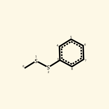 CSSc1c[c]ccc1